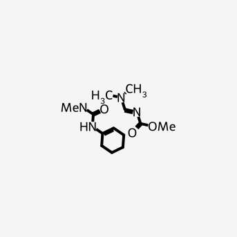 CNC(=O)NC1=CCCCC1.COC(=O)N=CN(C)C